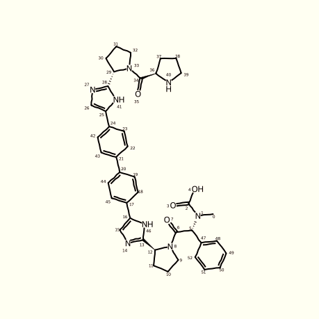 CN(C(=O)O)[C@@H](C(=O)N1CCC[C@H]1c1ncc(-c2ccc(-c3ccc(-c4cnc([C@@H]5CCCN5C(=O)[C@H]5CCCN5)[nH]4)cc3)cc2)[nH]1)c1ccccc1